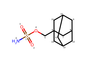 NS(=O)(=O)OCC12CC3CC(CC(C3)C1)C2